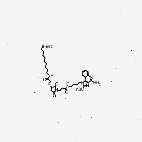 CCCCc1nc2c(N)nc3ccccc3c2n1CCCCNC(=O)CCN1C(=O)CC(SCC(=O)NCCCCCCCCCC(C)CCC)C1=O